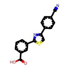 N#Cc1ccc(-c2csc(-c3cccc(C(=O)O)c3)n2)cc1